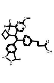 COc1ncc(/C(=C(\c2ccc(/C=C/C(=O)O)cc2)c2ccc3c(c2)C(F)NN3)C2CCC2)c(C(F)(F)F)n1